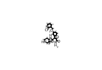 NC(=O)c1oc2ccc(OCc3cccnc3C(F)(F)F)cc2c1C(=O)NC1CCNCC1(F)F